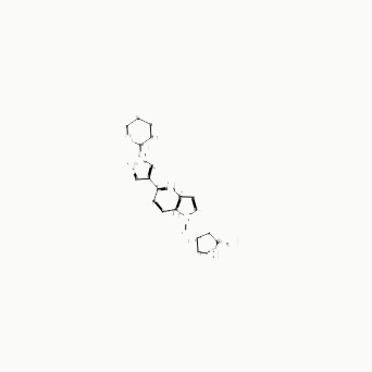 C[C@H]1C[C@@H](Cn2ccc3nc(-c4cnn(C5CCCCO5)c4)ccc32)CN1